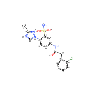 NS(=O)(=O)c1cc(NC(=O)Cc2ccccc2Cl)ccc1-n1cnc(C(F)(F)F)n1